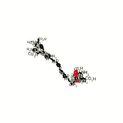 CC(C)C[C@H](NC(=O)[C@H](Cc1ccccc1)NC(=O)[C@H](CCC(=O)O)NC(=O)[C@H](CC(N)=O)NC(=O)[C@H](CC(=O)O)NC(=O)[C@@H](N)CCC(=O)O)C(=O)N[C@@H](CCCCNC(=O)c1ccc(OCc2cn(Cc3cccc(C(=O)NCCCC[C@H](NC(=O)[C@H](CC(C)C)NC(=O)[C@H](Cc4ccccc4)NC(=O)[C@H](CCC(=O)O)NC(=O)[C@H](CC(N)=O)NC(=O)[C@H](CC(=O)O)NC(=O)[C@@H](N)CCC(=O)O)C(N)=O)c3)nn2)cc1)C(N)=O